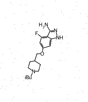 CCC(C)N1CCC(COc2cc(F)c3c(N)n[nH]c3c2)CC1